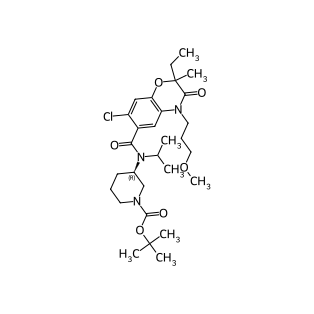 CCC1(C)Oc2cc(Cl)c(C(=O)N(C(C)C)[C@@H]3CCCN(C(=O)OC(C)(C)C)C3)cc2N(CCCOC)C1=O